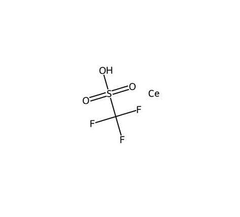 O=S(=O)(O)C(F)(F)F.[Ce]